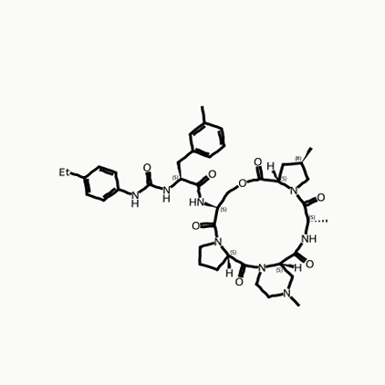 CCc1ccc(NC(=O)N[C@@H](Cc2cccc(C)c2)C(=O)N[C@H]2COC(=O)[C@@H]3C[C@@H](C)CN3C(=O)[C@H](C)NC(=O)[C@@H]3CN(C)CCN3C(=O)[C@@H]3CCCN3C2=O)cc1